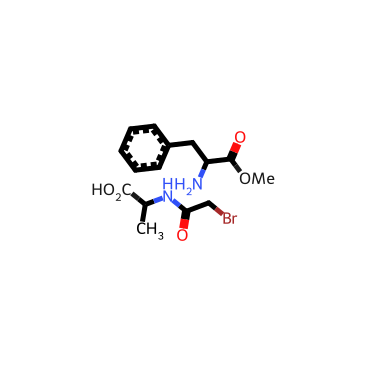 CC(NC(=O)CBr)C(=O)O.COC(=O)C(N)Cc1ccccc1